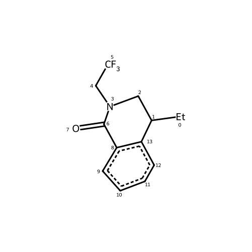 CCC1CN(CC(F)(F)F)C(=O)c2ccccc21